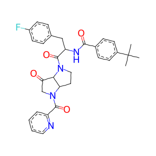 CC(C)(C)c1ccc(C(=O)NC(Cc2ccc(F)cc2)C(=O)N2CCC3C2C(=O)CN3C(=O)c2ccccn2)cc1